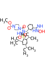 CCOC(=O)N1CCN(C(=O)N(Cc2cccc(C(=N)NO)c2)NS(=O)(=O)c2c(C(C)C)cc(C(C)C)cc2C(C)C)CC1